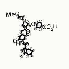 COC1CC([C@H]2C[C@@H](CO[C@H]3CC[C@H](C(=O)O)CC3)N(C(=O)Cc3cc(Cl)c(NC(=O)c4cn(C)c5ccccc45)cc3Cl)C2)C1